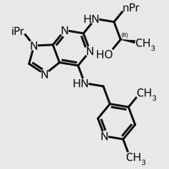 CCCC(Nc1nc(NCc2cnc(C)cc2C)c2ncn(C(C)C)c2n1)[C@@H](C)O